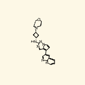 c1cnc2ncc(-c3ccn4nc(N[C@H]5C[C@H](N6CCOCC6)C5)ncc34)cc2c1